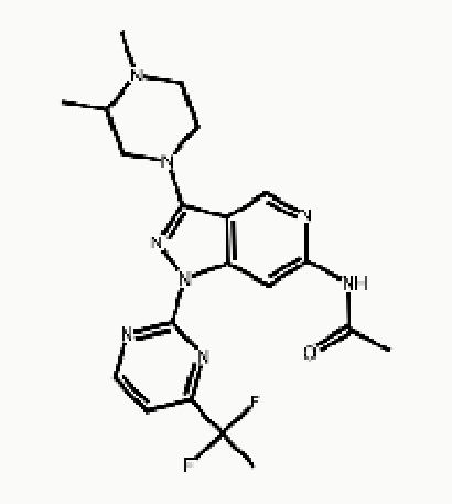 CC(=O)Nc1cc2c(cn1)c(N1CCN(C)C(C)C1)nn2-c1nccc(C(C)(F)F)n1